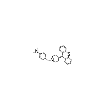 CN(C)c1ccc(CN2CCC(=C3c4ccccc4Sc4ccccc43)CC2)cc1